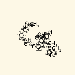 CNC(=O)c1ccc(-c2cccc(CNC(=O)CCCOc3ccc4c(c3)C3(CCC(Nc5cccc(Cl)c5)(C(=O)O)CC3)[C@@H](C[C@@H](C)COc3ccnc5c3[C@H](C)CCC5)C4)c2)cn1